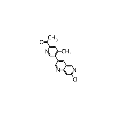 CC(=O)c1cc(C)c(-c2cnc3cc(Cl)ncc3c2)cn1